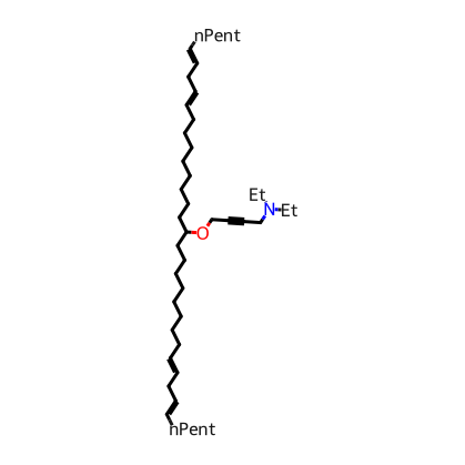 CCCCCC=CCC=CCCCCCCCCC(CCCCCCCCC=CCC=CCCCCC)OCC#CCN(CC)CC